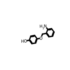 Nc1ccccc1COc1ccc(O)cc1